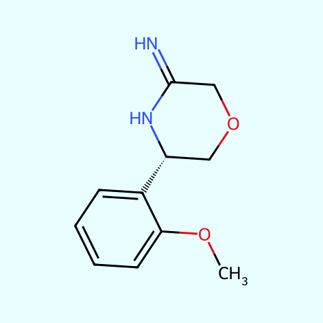 COc1ccccc1[C@H]1COCC(=N)N1